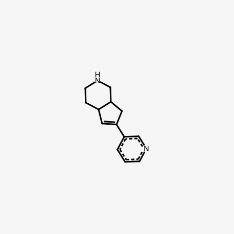 C1=C(c2cccnc2)CC2CNCCC12